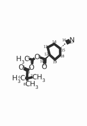 CC(OC(=O)C(C)(C)C)OC(=O)[C@H]1CC[C@H](C#N)CC1